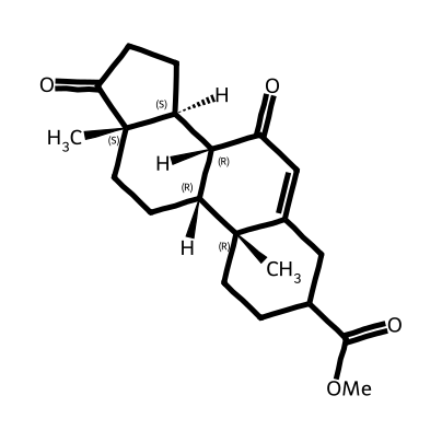 COC(=O)C1CC[C@@]2(C)C(=CC(=O)[C@@H]3[C@H]2CC[C@]2(C)C(=O)CC[C@@H]32)C1